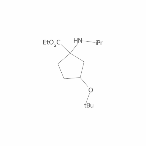 CCOC(=O)C1(NC(C)C)CCC(OC(C)(C)C)C1